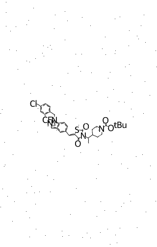 CC(C1CCN(C(=O)OC(C)(C)C)CC1)N1C(=O)S/C(=C\c2ccc3c(cnn3Cc3ccc(Cl)cc3C(F)(F)F)c2)C1=O